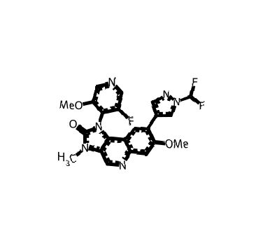 COc1cc2ncc3c(c2cc1-c1cnn(C(F)F)c1)n(-c1c(F)cncc1OC)c(=O)n3C